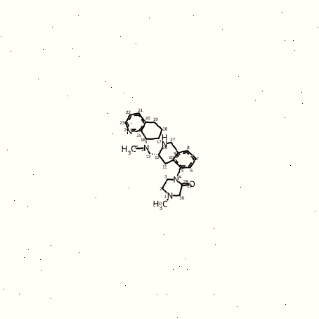 CN1CCN(c2cccc3c2C[C@H](CN(C)[C@H]2CCCc4cccnc42)NC3)C(=O)C1